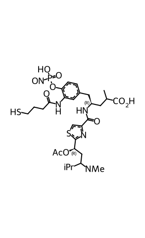 CNC(C[C@@H](OC(C)=O)c1nc(C(=O)N[C@@H](Cc2ccc(OP(=O)(O)N=O)c(NC(=O)CCCS)c2)CC(C)C(=O)O)cs1)C(C)C